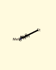 CCC=CCC=CCC=CCC=CCC=CCC=CCCC(=O)NCCNCCNC(=O)/C=C/C(=O)OC